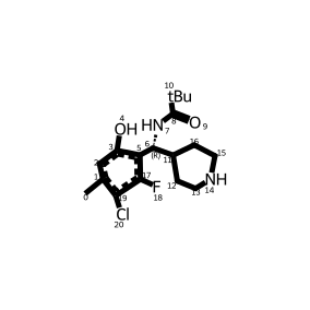 Cc1cc(O)c([C@H](NC(=O)C(C)(C)C)C2CCNCC2)c(F)c1Cl